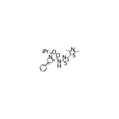 Cc1nc(C)c(-c2csc(NC(=O)[C@@H]3C[C@@H](c4ccccc4)CN3C(=O)C(C)C)n2)s1